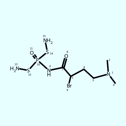 CN(C)CCC(Br)C(=O)NP(=O)(SN)SN